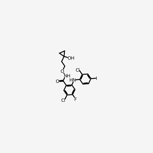 O=C(NOCCC1(O)CC1)c1cc(Cl)c(F)cc1Nc1ccc(I)cc1Cl